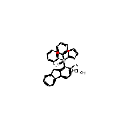 CC(C)c1ccc2c([c]1[Zr](=[SiH2])([C]1=CC=CC1)([c]1ccccc1)[c]1ccccc1)Cc1ccccc1-2.Cl.Cl